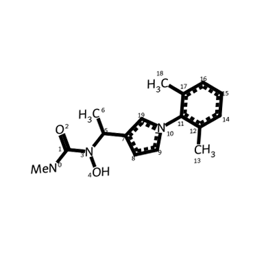 CNC(=O)N(O)C(C)c1ccn(-c2c(C)cccc2C)c1